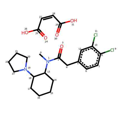 CN(C(=O)Cc1ccc(Cl)c(Cl)c1)C1CCCCC1N1CCCC1.O=C(O)/C=C\C(=O)O